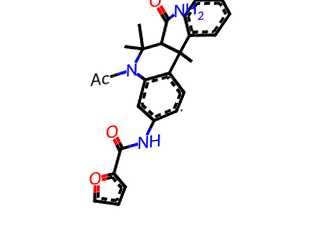 CC(=O)N1c2cc(NC(=O)c3ccco3)[c]cc2C(C)(c2ccccc2)C(C(N)=O)C1(C)C